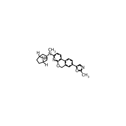 Cc1ncc(-c2ccc3c(c2)COc2nc(N(C)[C@@H]4C[C@H]5CC[C@@H](C4)N5)ccc2-3)o1